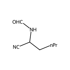 CCCCC(C#N)NC=O